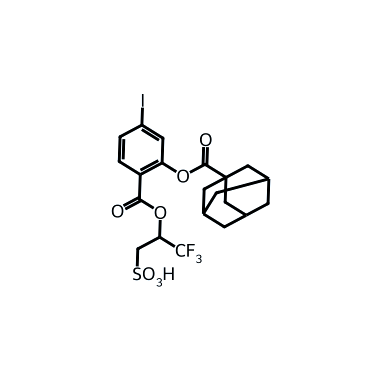 O=C(OC(CS(=O)(=O)O)C(F)(F)F)c1ccc(I)cc1OC(=O)C12CC3CC(CC(C3)C1)C2